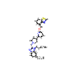 COCCn1c(CN2CCC(c3cccc(OCc4cccc5scnc45)n3)CC2)nc2ccc(C(=O)O)cc21